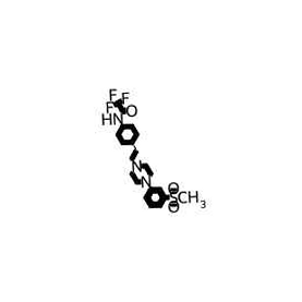 CS(=O)(=O)c1cccc(N2CCN(CC[C@H]3CC[C@H](NC(=O)C(F)(F)F)CC3)CC2)c1